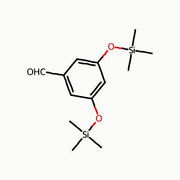 C[Si](C)(C)Oc1cc(C=O)cc(O[Si](C)(C)C)c1